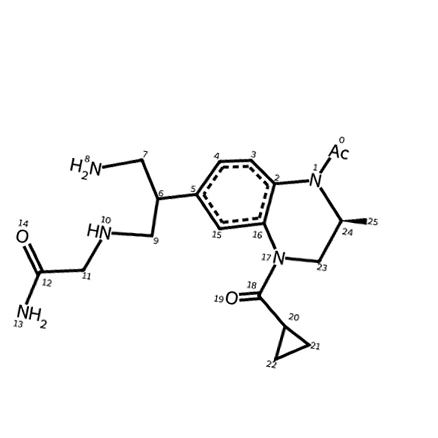 CC(=O)N1c2ccc(C(CN)CNCC(N)=O)cc2N(C(=O)C2CC2)C[C@@H]1C